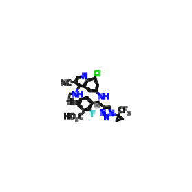 CC(C)(C)CNc1c(C#N)cnc2c(Cl)cc(N[C@H](c3cn(C4(C(F)(F)F)CC4)nn3)c3cccc(C(=O)O)c3F)cc12